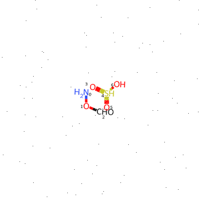 NOC=O.O=[SH](=O)O